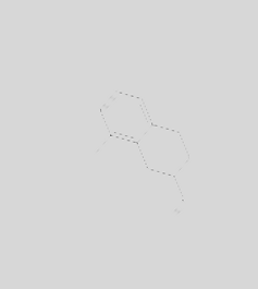 Cc1cccc2c1CC(N=O)CC2